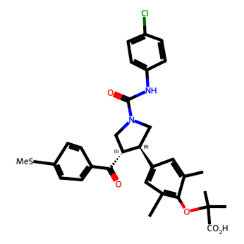 CSc1ccc(C(=O)[C@@H]2CN(C(=O)Nc3ccc(Cl)cc3)C[C@H]2c2cc(C)c(OC(C)(C)C(=O)O)c(C)c2)cc1